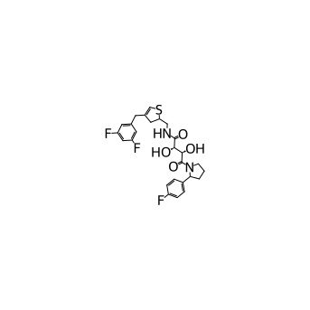 O=C(NCC1CC(Cc2cc(F)cc(F)c2)=CS1)[C@H](O)[C@@H](O)C(=O)N1CCCC1c1ccc(F)cc1